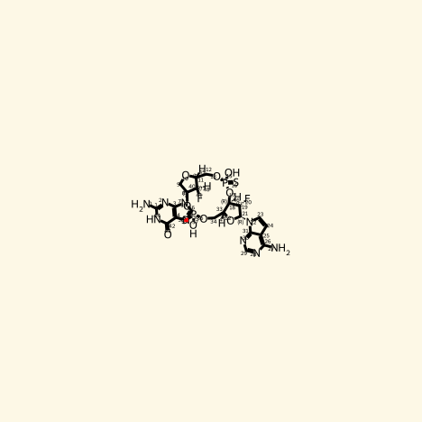 Nc1nc2c(ncn2[C@@]23CO[C@H](COP(O)(=S)O[C@H]4[C@H](F)[C@H](n5ccc6c(N)ncnc65)O[C@@H]4COP(O)(=S)O2)[C@H]3F)c(=O)[nH]1